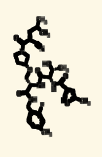 Cc1ccc(CNC(=O)[C@H](CO[C@@H]2CCN(C(=O)/C(C#N)=C/C(C)C)C2)NC(=O)[C@@H](NC(=O)c2cc(C)on2)[C@@H](C)O)c(F)c1